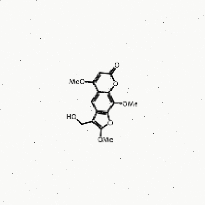 COc1oc2c(OC)c3oc(=O)cc(OC)c3cc2c1CO